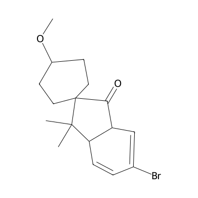 COC1CCC2(CC1)C(=O)C1C=C(Br)C=CC1C2(C)C